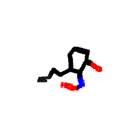 N#CCCC1=CC=CC(=O)C1=NO